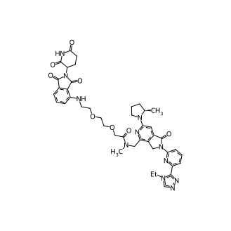 CCn1cnnc1-c1cccc(N2Cc3c(cc(N4CCC[C@H]4C)nc3CN(C)C(=O)COCCOCCNc3cccc4c3C(=O)N(C3CCC(=O)NC3=O)C4=O)C2=O)n1